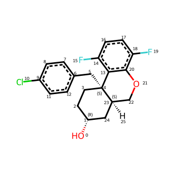 O[C@@H]1CC[C@@]2(Cc3ccc(Cl)cc3)c3c(F)ccc(F)c3OC[C@H]2C1